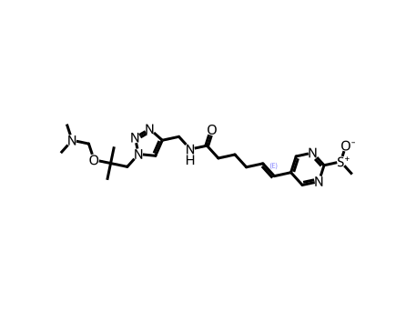 CN(C)COC(C)(C)Cn1cc(CNC(=O)CCC/C=C/c2cnc([S+](C)[O-])nc2)nn1